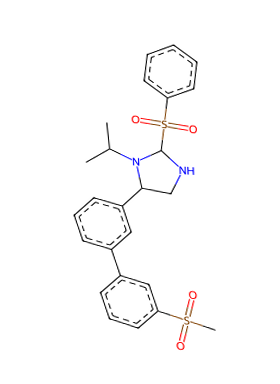 CC(C)N1C(c2cccc(-c3cccc(S(C)(=O)=O)c3)c2)CNC1S(=O)(=O)c1ccccc1